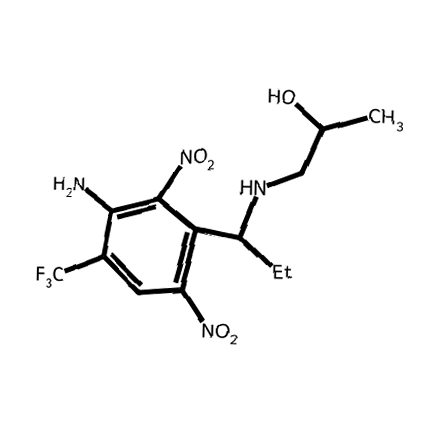 CCC(NCC(C)O)c1c([N+](=O)[O-])cc(C(F)(F)F)c(N)c1[N+](=O)[O-]